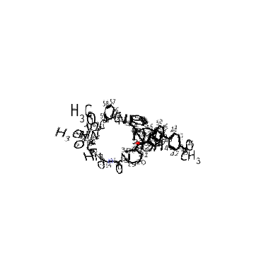 COCCN(C)C(=O)[C@H]1CCNC(=O)/C=C/C(=O)N2CCC[C@@](Cc3ccccc3)(C2)C(O)N[C@H](Cc2ccc(-c3ccc(C(C)=O)cc3)cc2)C(=O)NCc2ccccc2CC(=O)N1